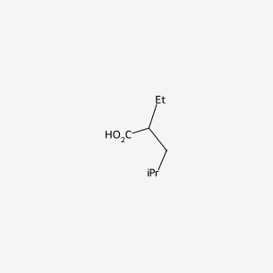 CCC(CC(C)C)C(=O)O